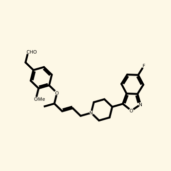 COc1cc(CC=O)ccc1OC(C)/C=C/CN1CCC(c2onc3cc(F)ccc23)CC1